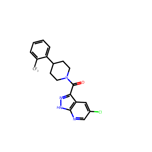 O=C(c1n[nH]c2ncc(Cl)cc12)N1CCC(c2ccccc2C(F)(F)F)CC1